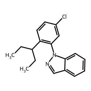 CCC(CC)c1ccc(Cl)cc1-n1ncc2ccccc21